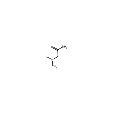 CN(I)CC(N)=O